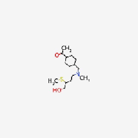 CSC(CO)CCN(C)CC1CCC(C(C)=O)CC1